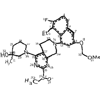 CCc1c(F)ccc2cc(OCOC)cc(N3CCc4c(nc([S+](C)[O-])nc4N4CCC[C@@](C)(O)C4)C3)c12